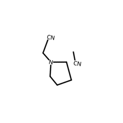 CC#N.N#CCN1CCCC1